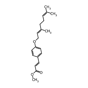 COC(=O)/C=C/c1ccc(OC/C=C(\C)CCC=C(C)C)cc1